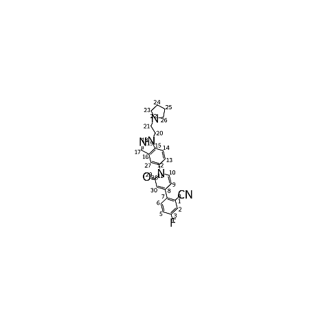 N#Cc1cc(F)ccc1-c1ccn(-c2ccc3c(cnn3CCN3CCCC3)c2)c(=O)c1